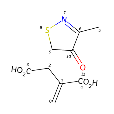 C=C(CC(=O)O)C(=O)O.CC1=NSCC1=O